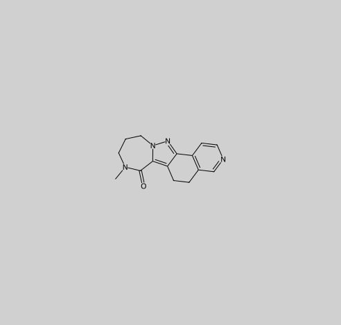 CN1CCCn2nc3c(c2C1=O)CCc1cnccc1-3